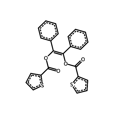 O=C(OC(=C(OC(=O)c1cccs1)c1ccccc1)c1ccccc1)c1cccs1